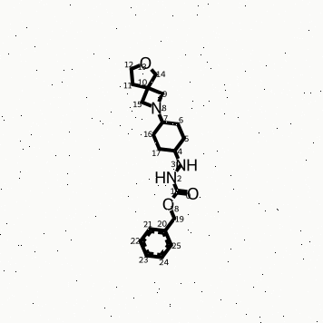 O=C(NNC1CCC(N2CC3(CCOC3)C2)CC1)OCc1ccccc1